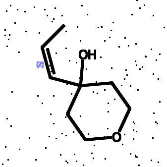 C/C=C\C1(O)CCOCC1